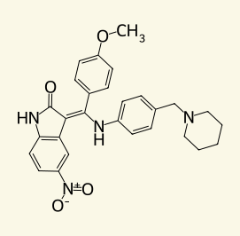 COc1ccc(C(Nc2ccc(CN3CCCCC3)cc2)=C2C(=O)Nc3ccc([N+](=O)[O-])cc32)cc1